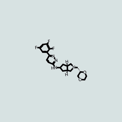 Fc1cc(F)c(F)c(-c2ccc(NC3C[C@@H]4CN(C[C@H]5COCCO5)C[C@@H]4C3)nn2)c1